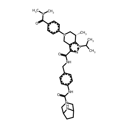 CC(C)n1nc(C(=O)NCc2ccc(NC(=O)N3CC4CCC(C3)N4)cc2)c2c1[C@@H](C)CN(c1ccc(C(=O)N(C)C)cc1)C2